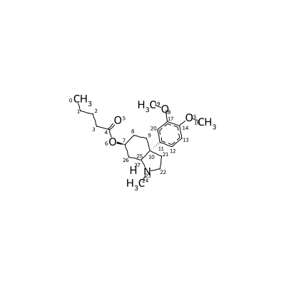 CCCCC(=O)O[C@H]1CC[C@@]2(c3ccc(OC)c(OC)c3)CCN(C)[C@H]2C1